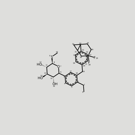 CCc1ccc(C2O[C@H](SC)[C@@H](O)[C@H](O)[C@H]2O)cc1Cc1ccc(C23CCC(F)(F)CC2C3)cc1